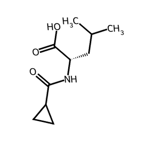 CC(C)C[C@H](NC(=O)C1CC1)C(=O)O